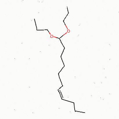 CCC/C=C\CCCCCC(OCCC)OCCC